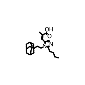 CCCCc1ncc(C=C(C)C(=O)O)n1CCC12CC3CC(CC(C3)C1)C2